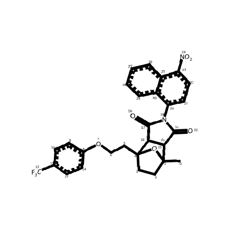 CC12CCC(CCOc3ccc(C(F)(F)F)cc3)(O1)C1C(=O)N(c3ccc([N+](=O)[O-])c4ccccc34)C(=O)C12